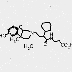 CC1CN(CCC(C(=O)NCCC(=O)O)C2CCCCC2)CCC1(C)c1cccc(O)c1.O